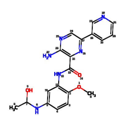 COc1ccc(NC(C)O)cc1NC(=O)c1nc(-c2cccnc2)cnc1N